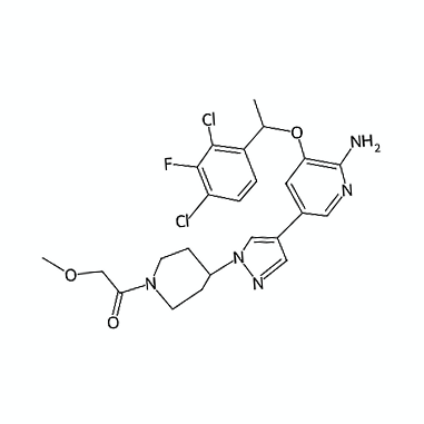 COCC(=O)N1CCC(n2cc(-c3cnc(N)c(OC(C)c4ccc(Cl)c(F)c4Cl)c3)cn2)CC1